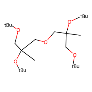 CC(C)(C)OCC(C)(COCC(C)(COC(C)(C)C)OC(C)(C)C)OC(C)(C)C